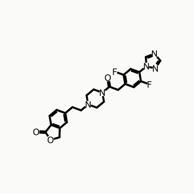 O=C1OCc2cc(CCN3CCN(C(=O)Cc4cc(F)c(-n5cncn5)cc4F)CC3)ccc21